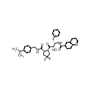 CN(C)c1ccc(CNC(=O)[C@@H]2CC(F)(F)CN2C(=O)[C@@H](O)[C@H](Cc2ccccc2)NC(=O)c2ccc3ncccc3c2)cc1